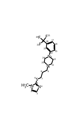 Cn1ccnc1SCCCN1CCN(c2cccc(C(F)(F)F)c2)CC1